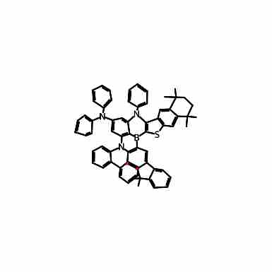 CC1(C)CCC(C)(C)c2cc3c4c(sc3cc21)B1c2cc3c(cc2N(c2ccccc2-c2ccccc2)c2cc(N(c5ccccc5)c5ccccc5)cc(c21)N4c1ccccc1)C(C)(C)c1ccccc1-3